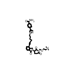 C[Si](C)(C)CCOCN1C(=O)CCC(N2Cc3c(C#CCCCCn4cc(-c5ccc(C(N)=O)cc5)cn4)cccc3C2=O)C1=O